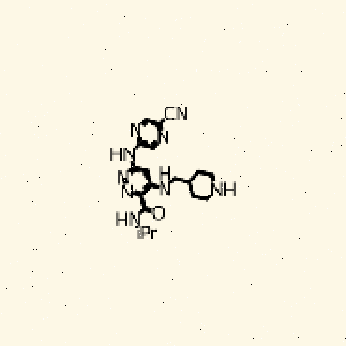 CC(C)NC(=O)c1nnc(Nc2cnc(C#N)cn2)cc1NCC1CCNCC1